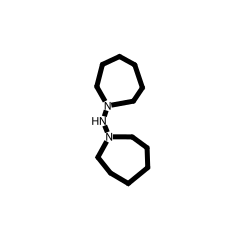 C1CCCN(NN2CCCCCC2)CC1